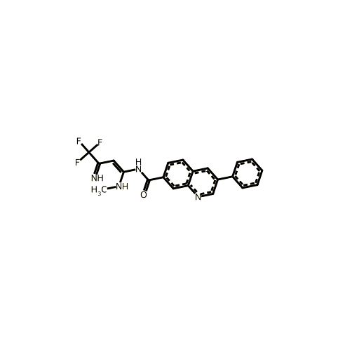 CN/C(=C\C(=N)C(F)(F)F)NC(=O)c1ccc2cc(-c3ccccc3)cnc2c1